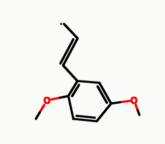 [CH2]C=Cc1cc(OC)ccc1OC